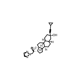 C[C@]12CC[C@H]3[C@@H](CC[C@H]4C[C@@](O)(C#CC5CC5)CC[C@@H]43)[C@@H]1CC[C@@H]2C(=O)Cn1nccn1